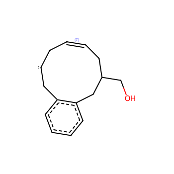 OCC1C/C=C\C[C]Cc2ccccc2C1